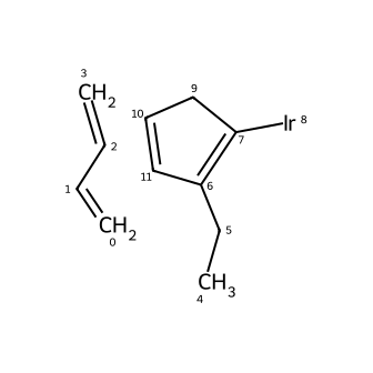 C=CC=C.CCC1=[C]([Ir])CC=C1